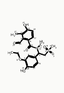 CCOc1cc(C(CS(C)(=O)=O)N(C)C(=O)c2ccc(O)c(N)c2C=O)ccc1O